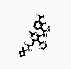 CBC(Nc1nc(C)nc(CC(=O)NC2(C)CCC2)c1C1OCCO1)c1cccc(C(F)F)c1F